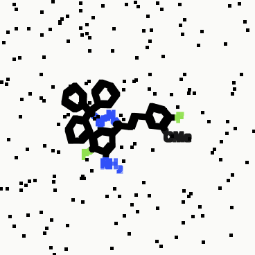 COc1cc(C=Cc2nn(C(c3ccccc3)(c3ccccc3)c3ccccc3)c3cc(F)c(N)cc23)ccc1F